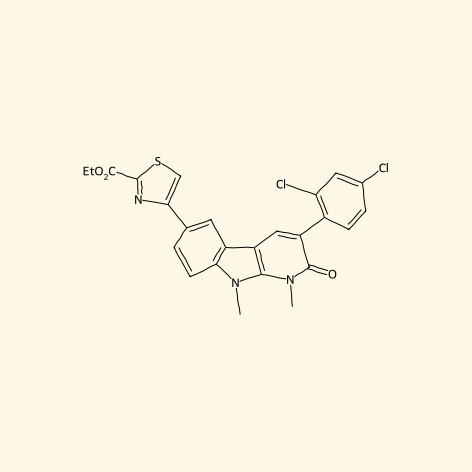 CCOC(=O)c1nc(-c2ccc3c(c2)c2cc(-c4ccc(Cl)cc4Cl)c(=O)n(C)c2n3C)cs1